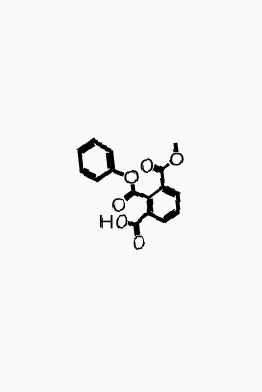 COC(=O)c1cccc(C(=O)O)c1C(=O)Oc1ccccc1